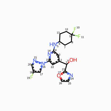 OC(c1cc(NC2CCC(F)(F)CC2)nc(-n2cc(F)cn2)c1)c1ncco1